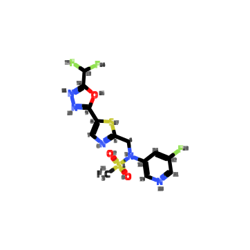 O=S(=O)(N(Cc1ncc(-c2nnc(C(F)F)o2)s1)c1cncc(F)c1)C(F)(F)F